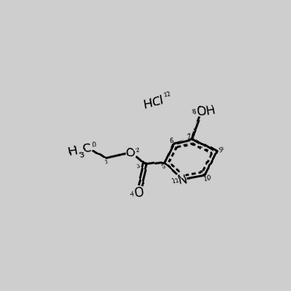 CCOC(=O)c1cc(O)ccn1.Cl